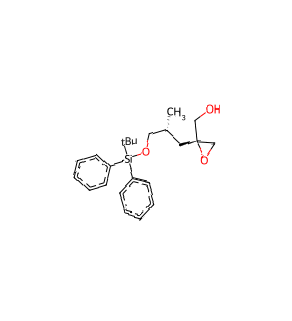 C[C@@H](CO[Si](c1ccccc1)(c1ccccc1)C(C)(C)C)C[C@@]1(CO)CO1